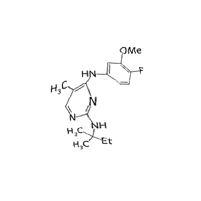 CCC(C)(C)Nc1ncc(C)c(Nc2ccc(F)c(OC)c2)n1